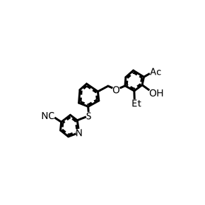 CCc1c(OCc2cccc(Sc3cc(C#N)ccn3)c2)ccc(C(C)=O)c1O